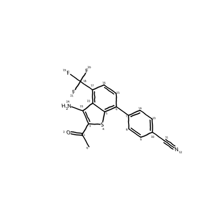 CC(=O)c1sc2c(-c3ccc(C#N)cc3)ccc(C(F)(F)F)c2c1N